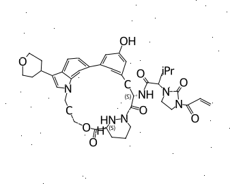 C=CC(=O)N1CCN(C(C(=O)N[C@H]2Cc3cc(O)cc(c3)-c3ccc4c(C5CCOCC5)cn(c4c3)CCCOC(=O)[C@@H]3CCCN(N3)C2=O)C(C)C)C1=O